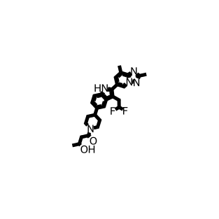 Cc1nc2c(C)cc(-c3[nH]c4ccc(C5CCN(C(=O)CC(C)O)CC5)cc4c3CC(F)F)cn2n1